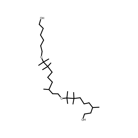 CC(CCO)CCCC(C)(C)C(C)(C)OCCC(C)CCCC(C)(C)C(C)(C)OCCCCCCO